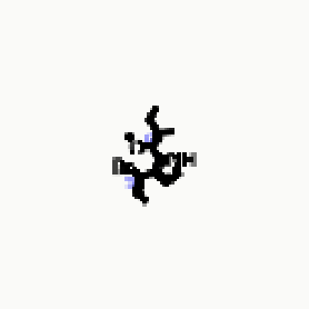 C/C=C(/Br)c1cc[nH]c1/C(OC)=C(\C)CC